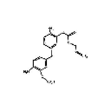 C=CCOC(=O)Oc1cc(Cc2ccc(N)c(OC(=O)O)c2)ccc1N